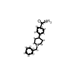 NC(=O)c1ccc(C2CCN(Cc3ccccc3)CC2)cc1